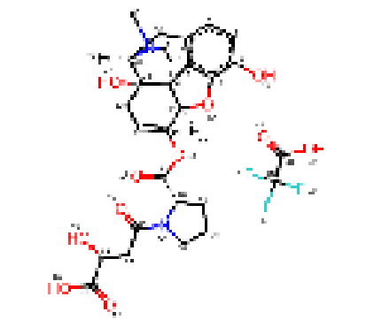 CN1CC[C@]23c4c5ccc(O)c4O[C@H]2C(OC(=O)[C@@H]2CCCN2C(=O)C[C@H](O)C(=O)O)=CC[C@@]3(O)[C@H]1C5.O=C(O)C(F)(F)F